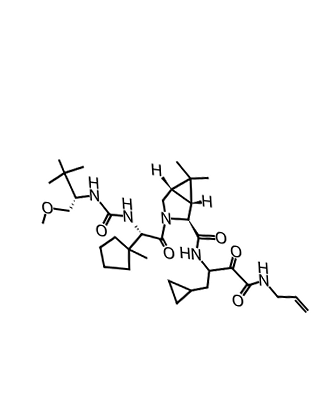 C=CCNC(=O)C(=O)C(CC1CC1)NC(=O)[C@@H]1[C@@H]2[C@H](CN1C(=O)[C@@H](NC(=O)N[C@H](COC)C(C)(C)C)C1(C)CCCC1)C2(C)C